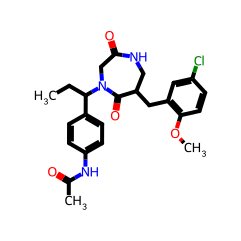 CCC(c1ccc(NC(C)=O)cc1)N1CC(=O)NCC(Cc2cc(Cl)ccc2OC)C1=O